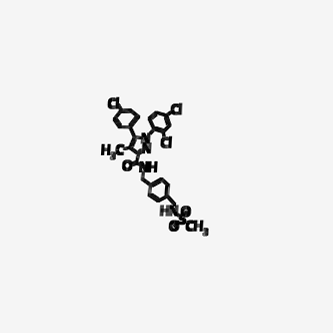 Cc1c(C(=O)NCc2ccc(CNS(C)(=O)=O)cc2)nn(-c2ccc(Cl)cc2Cl)c1-c1ccc(Cl)cc1